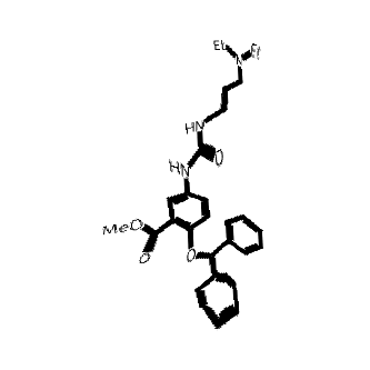 CCN(CC)CCCNC(=O)Nc1ccc(OC(c2ccccc2)c2ccccc2)c(C(=O)OC)c1